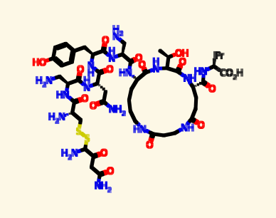 CC(C)[C@H](NC(=O)[C@@H]1CCC(=O)NCCC(=O)NCCCC[C@H](NC(=O)[C@H](CN)NC(=O)[C@H](Cc2ccc(O)cc2)NC(=O)[C@H](CC(N)=O)NC(=O)[C@H](CN)NC(=O)[C@@H](N)CSSC(N)C(=O)CC(N)=O)C(=O)NC([C@@H](C)O)C(=O)N1)C(=O)O